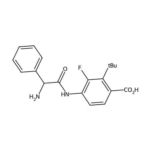 CC(C)(C)c1c(C(=O)O)ccc(NC(=O)C(N)c2ccccc2)c1F